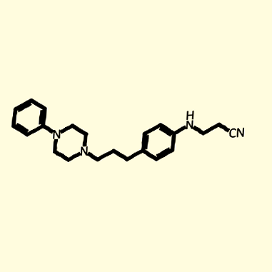 N#CCCNc1ccc(CCCN2CCN(c3ccccc3)CC2)cc1